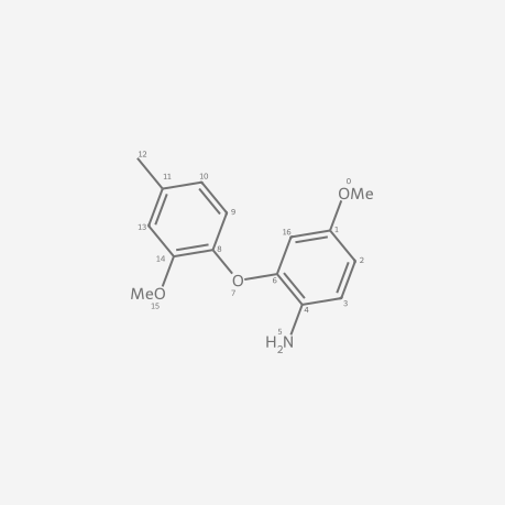 COc1ccc(N)c(Oc2ccc(C)cc2OC)c1